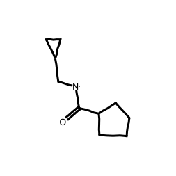 O=C([N]CC1CC1)C1CCCC1